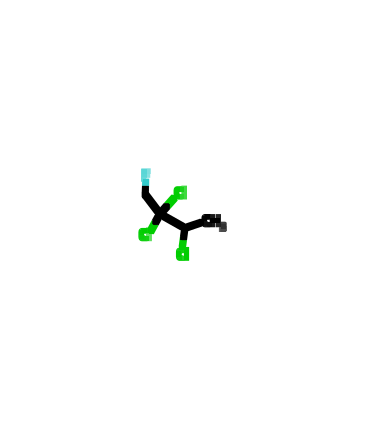 CC(Cl)C(Cl)(Cl)CF